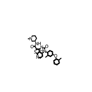 Cc1ccccc1Oc1ccc(N2C(=O)Nc3c(C(=O)N[C@@H]4CCCN(C)C4)sc4nccc2c34)c(C)c1